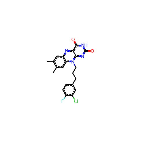 Cc1cc2nc3c(=O)[nH]c(=O)nc-3n(CCCc3ccc(F)c(Cl)c3)c2cc1C